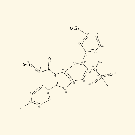 CONC(=O)c1c(-c2ccc(F)cc2)oc2cc(N(C)S(C)(=O)=O)c(-c3cccc(OC)c3)cc12